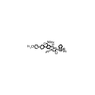 CNC(=O)c1cc(Nc2ncc(Cl)c(Nc3ccccc3S(=O)(=O)C(C)C)n2)c(OC(C)C)cc1C1=CC[C@H](N2CCN(C)CC2)CC1